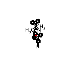 C/C(=C(C#N)\C=C(/C)N1c2ccccc2C2C=CC=CC21)c1cc2c(c(-c3ccccc3-n3c4ccccc4c4cc(C#N)ccc43)c1)C2